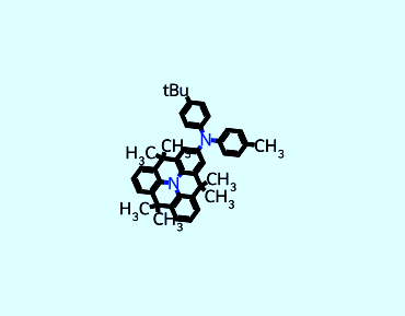 Cc1ccc(N(c2ccc(C(C)(C)C)cc2)c2cc3c4c(c2)C(C)(C)c2cccc5c2N4c2c(cccc2C3(C)C)C5(C)C)cc1